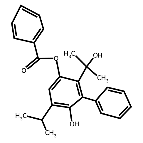 CC(C)c1cc(OC(=O)c2ccccc2)c(C(C)(C)O)c(-c2ccccc2)c1O